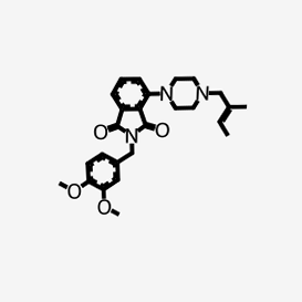 CC=C(C)CN1CCN(c2cccc3c2C(=O)N(Cc2ccc(OC)c(OC)c2)C3=O)CC1